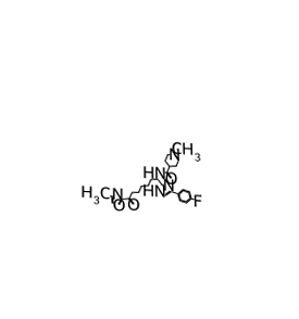 Cc1coc(C(=O)CCCCCC(NC(=O)C2CCN(C)CC2)c2nc(-c3ccc(F)cc3)c[nH]2)n1